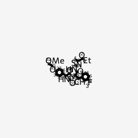 CCC(=O)c1csc(NC(=O)[C@H]([C@@H](C)c2cccc(F)c2)N2C(=O)NC(c3ccc(OCCOC)cc3)C2=O)n1